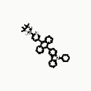 CC1(C)OB(c2ccc(-c3c4ccccc4c(-c4ccc5c(c4)c4ccccc4n5C4=CCCC=C4)c4ccccc34)cn2)OC1(C)C